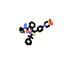 CC(C)(c1ccccc1)c1nc([C@@H]2CCCC[C@H]2C(=O)NC2(C#N)CC2)c(-c2ccc(N3CCS(=O)(=O)CC3)cc2)s1